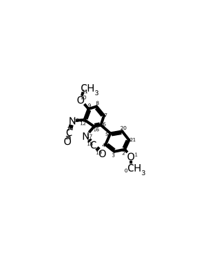 COc1ccc(-c2ccc(OC)c(N=C=O)c2N=C=O)cc1